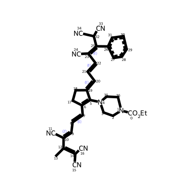 CCOC(=O)N1CCN(C2=C(/C=C/C=C(\C#N)C(C)=C(C#N)C#N)CC\C2=C/C=C/C(C#N)=C(\c2ccccc2)C(C#N)C#N)CC1